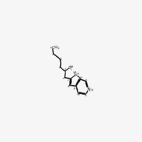 CCCCC(O)Cc1cc2ccncc2[nH]1